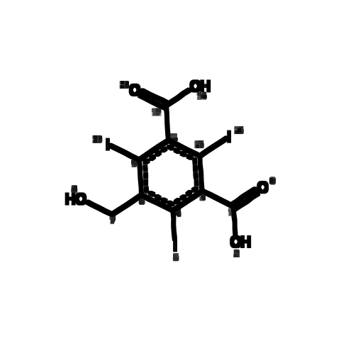 O=C(O)c1c(I)c(CO)c(I)c(C(=O)O)c1I